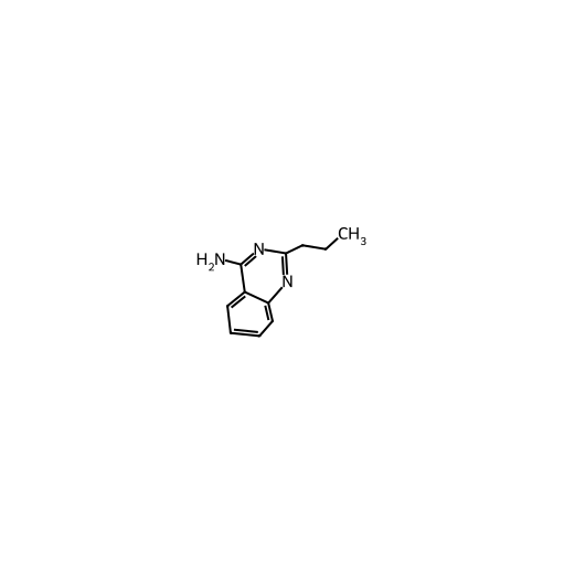 CCCc1nc(N)c2ccccc2n1